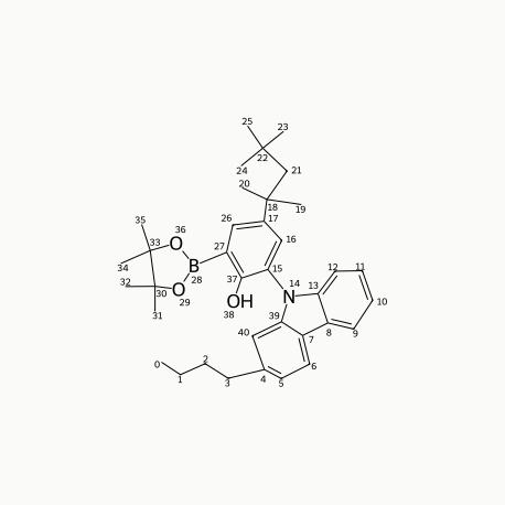 CCCCc1ccc2c3ccccc3n(-c3cc(C(C)(C)CC(C)(C)C)cc(B4OC(C)(C)C(C)(C)O4)c3O)c2c1